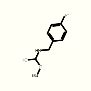 CC(C)c1ccc(CNC(O)OC(C)(C)C)cc1